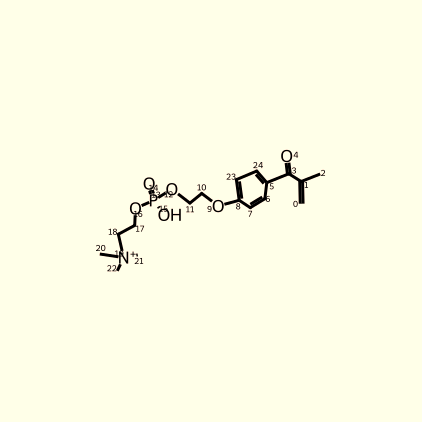 C=C(C)C(=O)c1ccc(OCCOP(=O)(O)OCC[N+](C)(C)C)cc1